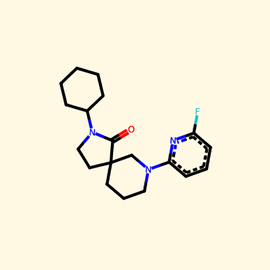 O=C1N(C2CCCCC2)CCC12CCCN(c1cccc(F)n1)C2